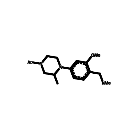 CNCc1ccc(N2CCN(C(C)=O)CC2C)cc1OC